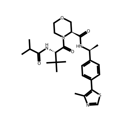 Cc1ncsc1-c1ccc([C@H](C)NC(=O)[C@@H]2COCCN2C(=O)[C@@H](NC(=O)C(C)C)C(C)(C)C)cc1